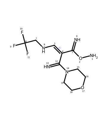 N=C(ON)/C(=C/NCC(F)(F)F)C(=N)N1CCOCC1